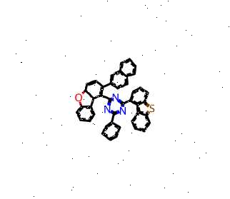 C1=CC2Oc3ccccc3C2C(c2nc(-c3ccccc3)nc(-c3cccc4sc5ccccc5c34)n2)=C1c1ccc2ccccc2c1